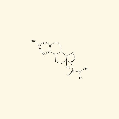 CCN(C(=O)C1=CCC2C3CCc4cc(O)ccc4C3CCC12C)C(C)C